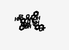 CCNc1cc(C(=O)N[C@@H](Cc2ccccc2)[C@H](O)CNCc2ccc3c(c2)CCC(C)(C)O3)cc(N2CCCCS2(O)O)c1